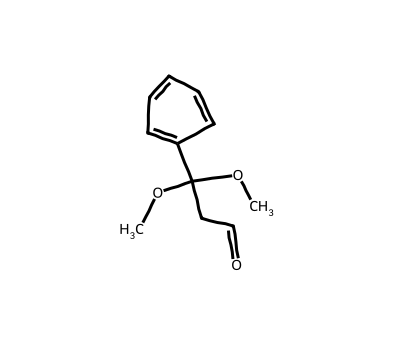 COC(CC=O)(OC)c1ccccc1